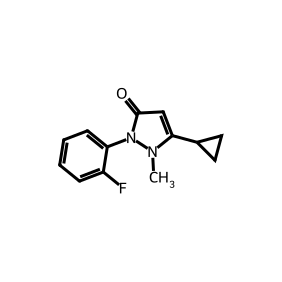 Cn1c(C2CC2)cc(=O)n1-c1ccccc1F